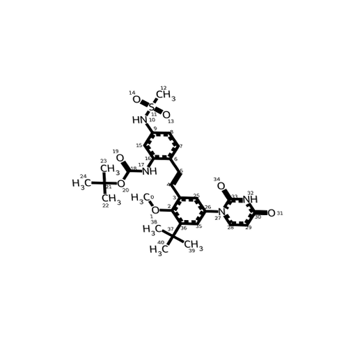 COc1c(C=Cc2ccc(NS(C)(=O)=O)cc2NC(=O)OC(C)(C)C)cc(-n2ccc(=O)[nH]c2=O)cc1C(C)(C)C